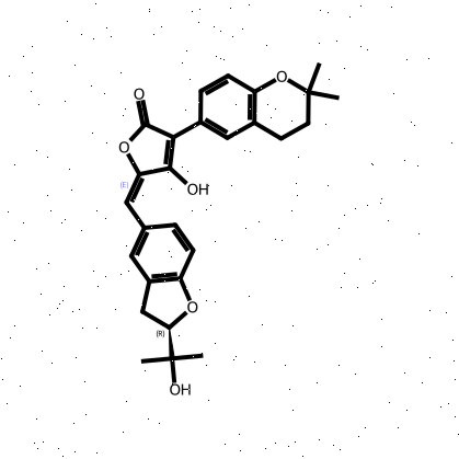 CC1(C)CCc2cc(C3=C(O)/C(=C\c4ccc5c(c4)C[C@H](C(C)(C)O)O5)OC3=O)ccc2O1